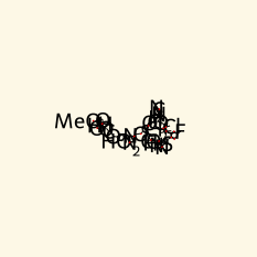 CO[C@@H]1CO[C@H]2[C@@H]1OC[C@H]2OCCOc1ccc(-c2nccc(COc3ccc4cc3C[C@H](C(=O)O)Oc3ncnc5sc(-c6ccc(F)cc6)c(c35)-c3c(C)c(Cl)c(c(Cl)c3C)O[C@H](CN3CCN(C)CC3)CO4)n2)cc1